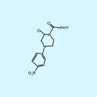 CCCCCC(=O)N1CCN(c2ccc([N+](=O)[O-])cc2)CC1Cl